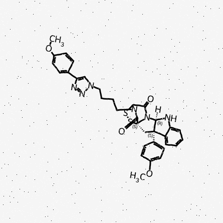 COc1ccc(-c2cn(CCCCN3C(=O)[C@@]45C[C@]6(c7ccc(OC)cc7)c7ccccc7N[C@@H]6N4C(=O)C3SS5)nn2)cc1